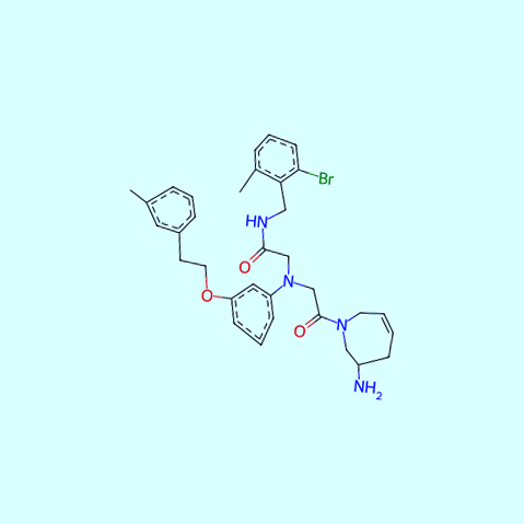 Cc1cccc(CCOc2cccc(N(CC(=O)NCc3c(C)cccc3Br)CC(=O)N3CC=CCC(N)C3)c2)c1